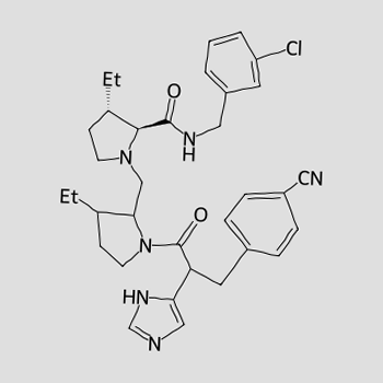 CCC1CCN(C(=O)C(Cc2ccc(C#N)cc2)c2cnc[nH]2)C1CN1CC[C@H](CC)[C@H]1C(=O)NCc1cccc(Cl)c1